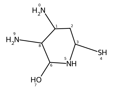 NC1CC(S)NC(O)C1N